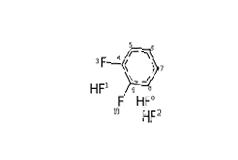 F.F.F.Fc1ccccc1F